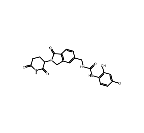 O=C1CCC(N2Cc3cc(CNC(=O)Nc4ccc(Cl)cc4O)ccc3C2=O)C(=O)N1